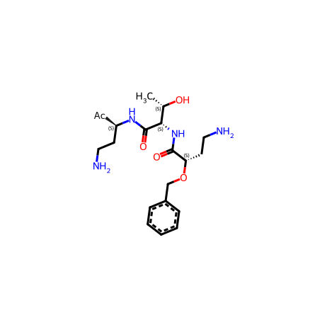 CC(=O)[C@H](CCN)NC(=O)[C@@H](NC(=O)[C@H](CCN)OCc1ccccc1)[C@H](C)O